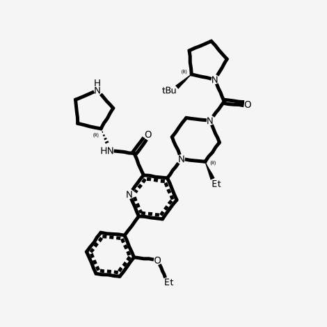 CCOc1ccccc1-c1ccc(N2CCN(C(=O)N3CCC[C@@H]3C(C)(C)C)C[C@H]2CC)c(C(=O)N[C@@H]2CCNC2)n1